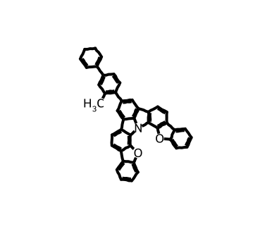 Cc1cc(C2=CCCC=C2)ccc1-c1cc2c3ccc4c5ccccc5oc4c3n3c2c(c1)c1ccc2c4ccccc4oc2c13